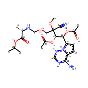 COC(C#N)(COCN[C@@H](C)C(=O)OC(C)C)[C@@H](OC(C)=O)[C@@H](OC(C)=O)c1ccc2c(N)ncnn12